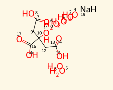 O.O.O.O.O.O.O=C(O)CC(O)(CC(=O)O)C(=O)O.[NaH]